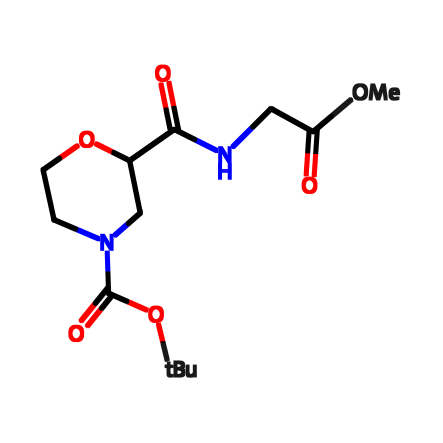 COC(=O)CNC(=O)C1CN(C(=O)OC(C)(C)C)CCO1